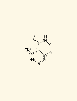 O=C1NCCc2ccnc(Cl)c21